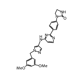 COc1cc(Cn2cc(Nc3ccnc(-c4ccc(N5CCNC5=O)cc4)n3)cn2)cc(OC)c1